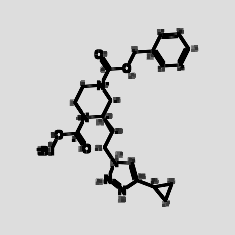 CC(C)(C)OC(=O)N1CCN(C(=O)OCc2ccccc2)C[C@H]1CCn1cc(C2CC2)nn1